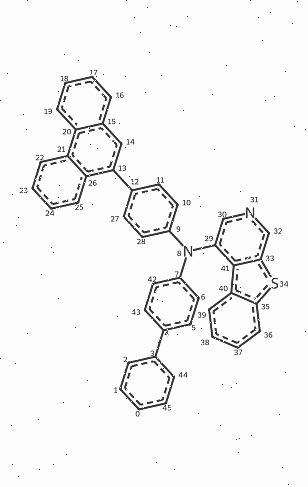 c1ccc(-c2ccc(N(c3ccc(-c4cc5ccccc5c5ccccc45)cc3)c3cncc4sc5ccccc5c34)cc2)cc1